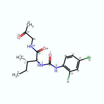 CC[C@H](C)[C@H](NC(=O)Nc1ccc(Br)cc1F)C(=O)NCC(C)=O